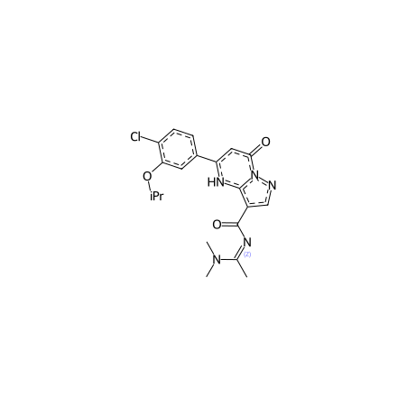 C/C(=N/C(=O)c1cnn2c(=O)cc(-c3ccc(Cl)c(OC(C)C)c3)[nH]c12)N(C)C